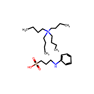 CCCC[N+](CCCC)(CCCC)CCCC.O=S(=O)(O)CCCNc1ccccc1